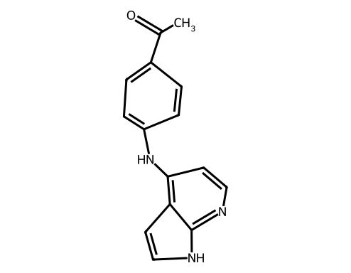 CC(=O)c1ccc(Nc2ccnc3[nH]ccc23)cc1